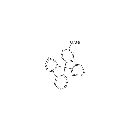 COc1ccc(C2(c3ccccc3)c3ccccc3-c3ccccc32)cc1